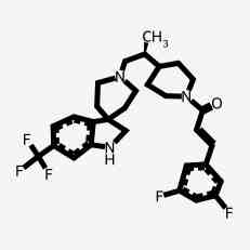 C[C@H](CN1CCC2(CC1)CNc1cc(C(F)(F)F)ccc12)C1CCN(C(=O)/C=C/c2cc(F)cc(F)c2)CC1